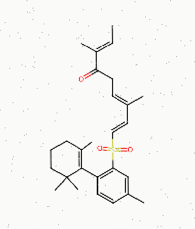 CC=C(C)C(=O)CC=C(C)C=CS(=O)(=O)c1cc(C)ccc1C1=C(C)CCCC1(C)C